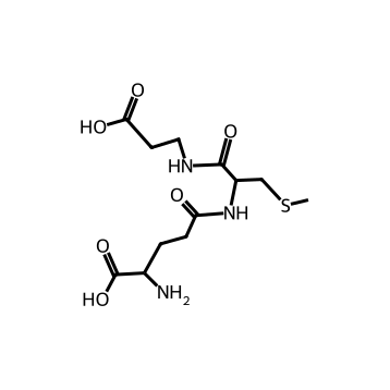 CSCC(NC(=O)CCC(N)C(=O)O)C(=O)NCCC(=O)O